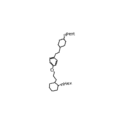 CCCCCCC1CCCCC1CCCOc1ccc(CCC2CCC(CCCCC)CC2)cc1